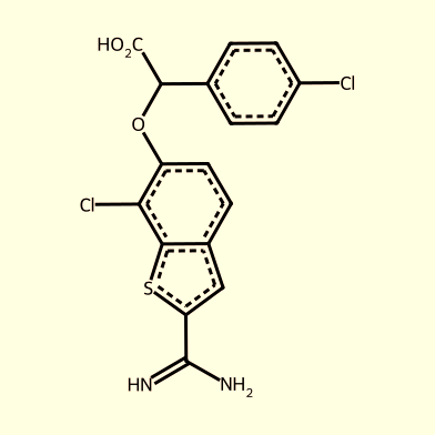 N=C(N)c1cc2ccc(OC(C(=O)O)c3ccc(Cl)cc3)c(Cl)c2s1